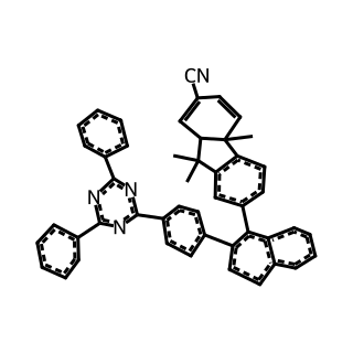 CC1(C)c2cc(-c3c(-c4ccc(-c5nc(-c6ccccc6)nc(-c6ccccc6)n5)cc4)ccc4ccccc34)ccc2C2(C)C=CC(C#N)=CC12